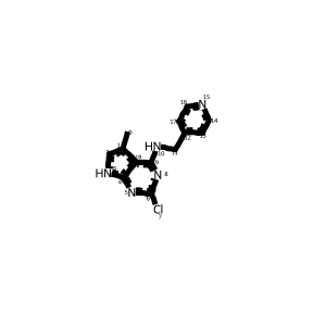 Cc1c[nH]c2nc(Cl)nc(NCc3ccncc3)c12